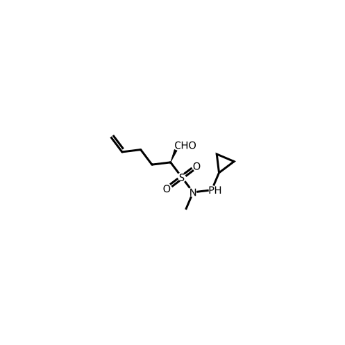 C=CCC[C@@H](C=O)S(=O)(=O)N(C)PC1CC1